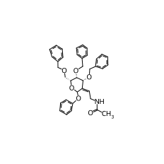 CC(=O)NC/C=C1\C(Oc2ccccc2)O[C@H](COCc2ccccc2)[C@H](OCc2ccccc2)[C@@H]1OCc1ccccc1